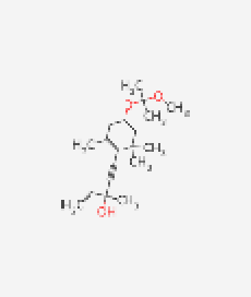 C=C[C@@](C)(O)C#CC1=C(C)CC(OC(C)(C)OC)CC1(C)C